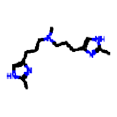 Cc1nc(CCCN(C)CCCc2c[nH]c(C)n2)c[nH]1